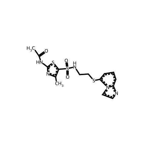 CC(=O)Nc1nc(C)c(S(=O)(=O)NCCSc2cccc3nccn23)s1